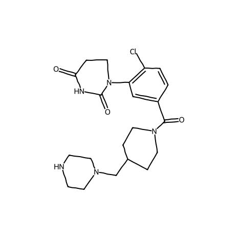 O=C1CCN(c2cc(C(=O)N3CCC(CN4CCNCC4)CC3)ccc2Cl)C(=O)N1